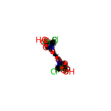 O=S(=O)(O)c1cc2c(s1)-c1c(c(COCCCCCCOCc3nn(-c4ccc(Cl)cc4Cl)c4c3COc3cc(S(=O)(=O)O)sc3-4)nn1-c1ccc(Cl)cc1Cl)CO2